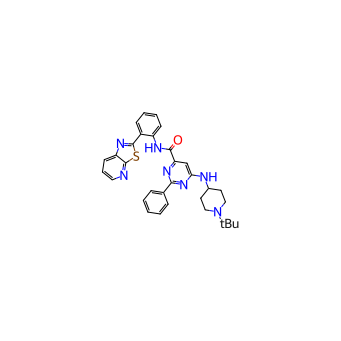 CC(C)(C)N1CCC(Nc2cc(C(=O)Nc3ccccc3-c3nc4cccnc4s3)nc(-c3ccccc3)n2)CC1